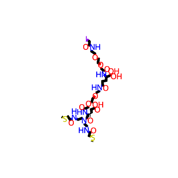 CSCC(=O)NCCN(CCNC(=O)CSC)C(=O)[C@H](CCC(=O)O)NC(=O)COCCOCCNC(=O)CCC(NC(=O)COCCOCCNC(=O)CI)C(O)O